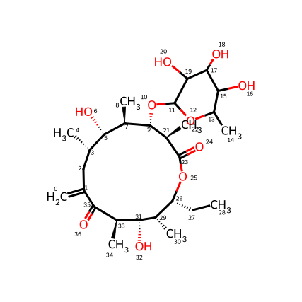 C=C1C[C@H](C)[C@H](O)[C@@H](C)[C@H](OC2OC(C)C(O)C(O)C2O)[C@@H](C)C(=O)O[C@H](CC)[C@H](C)[C@H](O)[C@@H](C)C1=O